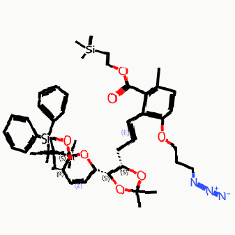 Cc1ccc(OCCCN=[N+]=[N-])c(/C=C/C[C@@H]2OC(C)(C)O[C@@H]2C(/C=C\[C@@H](C)[C@H](C)O[Si](c2ccccc2)(c2ccccc2)C(C)(C)C)O[Si](C)(C)C(C)(C)C)c1C(=O)OCC[Si](C)(C)C